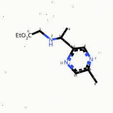 CCOC(=O)CNC(C)c1cnc(C)cn1